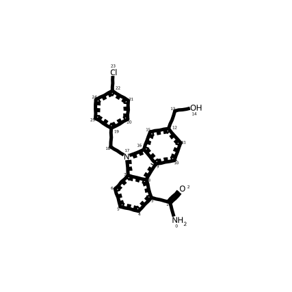 NC(=O)c1cccc2c1c1[c]cc(CO)cc1n2Cc1ccc(Cl)cc1